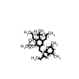 CCCc1cc(Cn2c(CC)nc3c(C)cc(C)nc32)c(O[SiH](C)C)c(CCC)c1C(C)(C)C